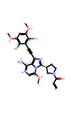 C=CC(=O)N1CC[C@H](c2nc(C#Cc3c(F)c(OC)cc(OC)c3F)c3c(N)ncc(OC)n23)C1